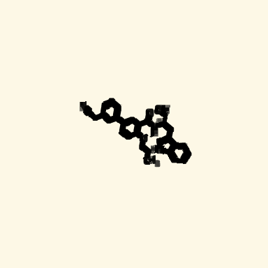 CCCOc1ccc(-c2cccc(CC#N)c2)cc1C(=O)N[C@H](CO)Cc1c[nH]c2ccccc12